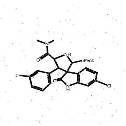 CCCCCC1NC(C(=O)N(C)C)C(c2cccc(Cl)c2)C12C(=O)Nc1cc(Cl)ccc12